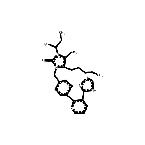 CCCCCc1c(C)n(C(C)CC)c(=O)n1Cc1ccc(-c2ncccc2-c2nnn[nH]2)cc1